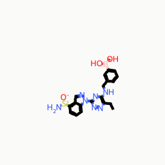 CCc1nnc(-n2ncc3c([S+](N)[O-])cccc32)nc1NCc1cccc(B(O)O)c1